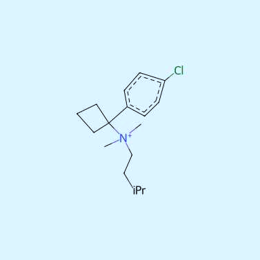 CC(C)CC[N+](C)(C)C1(c2ccc(Cl)cc2)CCC1